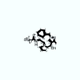 Cc1nn(Cc2ccccc2)cc1[C@@H](O)[C@@H]1CCCN1CCNC(=O)OC(C)(C)C